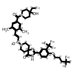 Cc1cc(C(=O)N2CCC(O)(CF)CC2)cc(C)c1/C=C/[S+]([O-])N1CCC2(CC1)N=C(c1ccc(OCCCC(F)(F)F)c(C(F)(F)F)c1)NC2=O